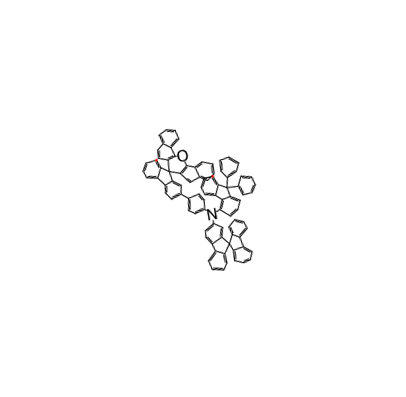 c1ccc(C2(c3ccccc3)c3ccccc3-c3c(N(c4ccc(-c5ccc6c(c5)C5(c7ccccc7-6)c6ccc7ccccc7c6Oc6c5ccc5ccccc65)cc4)c4ccc5c(c4)C4(c6ccccc6-c6ccccc64)c4ccccc4-5)cccc32)cc1